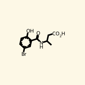 CC(CC(=O)O)NC(=O)c1cc(Br)ccc1O